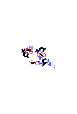 CC1CCC(C(C)(C)C)N(C(=O)C(=O)Nc2cnc(N)c3cnn(COCC[Si](C)(C)C)c23)C1.CC1CCC(C(C)(C)C)N(C(=O)C(N)=O)C1